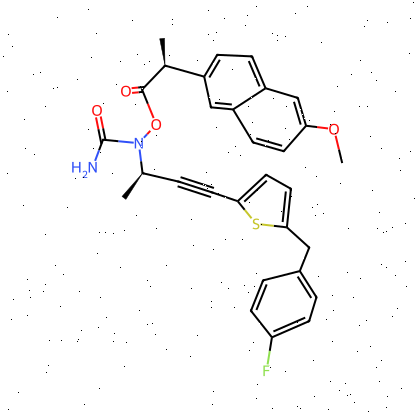 COc1ccc2cc([C@H](C)C(=O)ON(C(N)=O)[C@H](C)C#Cc3ccc(Cc4ccc(F)cc4)s3)ccc2c1